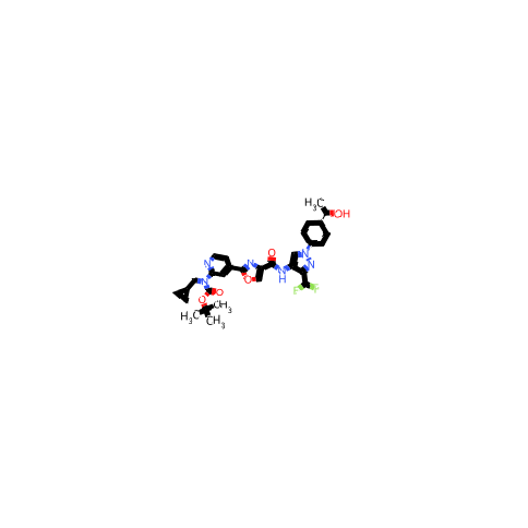 CC(O)[C@H]1CC[C@H](n2cc(NC(=O)c3coc(-c4ccnc(N(CC5CC5)C(=O)OC(C)(C)C)c4)n3)c(C(F)F)n2)CC1